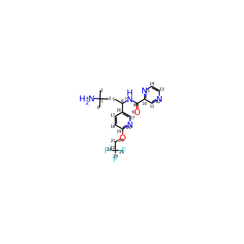 CC(C)(C)N.CC(NC(=O)c1cnccn1)c1ccc(OCC(F)(F)F)nc1